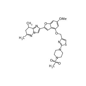 COc1cc(OCc2csc(N3CCN(S(C)(=O)=O)CC3)n2)c2cc(-c3cn4c(n3)C(C)CC(C)=N4)oc2c1